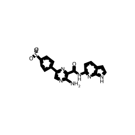 Nc1ncc(-c2ccc([SH](=O)=O)cc2)nc1C(=O)Nc1ccc2cc[nH]c2n1